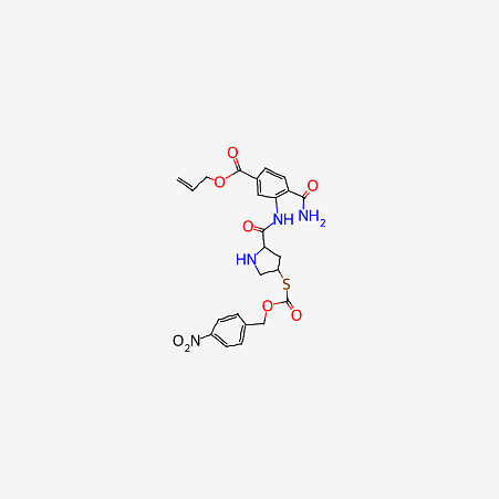 C=CCOC(=O)c1ccc(C(N)=O)c(NC(=O)C2CC(SC(=O)OCc3ccc([N+](=O)[O-])cc3)CN2)c1